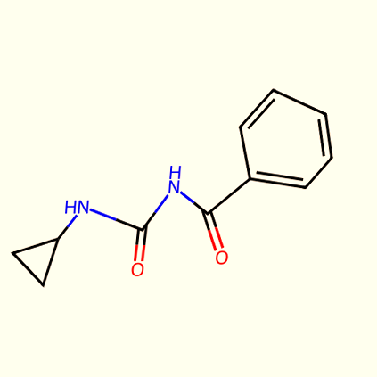 O=C(NC(=O)c1ccccc1)NC1CC1